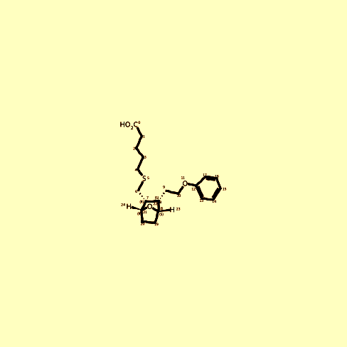 O=C(O)CCCCSC[C@@H]1[C@H](CCOc2ccccc2)[C@@H]2CC[C@H]1O2